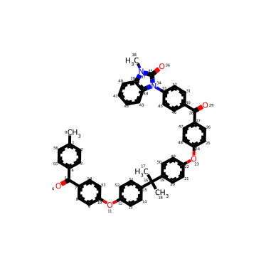 Cc1ccc(C(=O)c2ccc(Oc3ccc(C(C)(C)c4ccc(Oc5ccc(C(=O)c6ccc(-n7c(=O)n(C)c8ccccc87)cc6)cc5)cc4)cc3)cc2)cc1